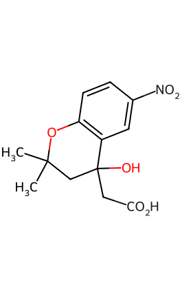 CC1(C)CC(O)(CC(=O)O)c2cc([N+](=O)[O-])ccc2O1